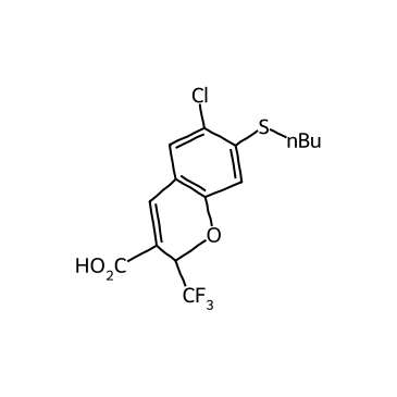 CCCCSc1cc2c(cc1Cl)C=C(C(=O)O)C(C(F)(F)F)O2